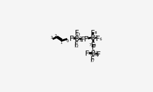 CC=CC.F[B-](F)(F)F.F[B-](F)(F)F.F[B-](F)(F)F